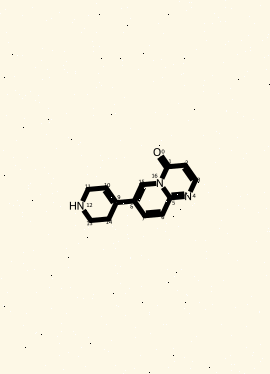 O=c1ccnc2ccc(C3=CCNCC3)cn12